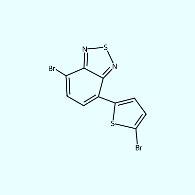 Brc1ccc(-c2ccc(Br)c3nsnc23)s1